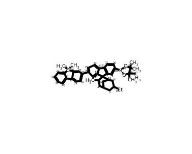 CCC1CC2CC(C)C3(c4cc(B5OC(C)(C)C(C)(C)O5)ccc4-c4ccc(-c5ccc6c(c5)S(C)(C)c5ccccc5-6)cc43)C(C1)C2